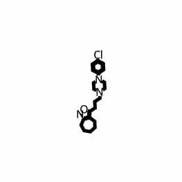 Clc1ccc(N2CCN(CCCc3onc4c3CCCCC4)CC2)cc1